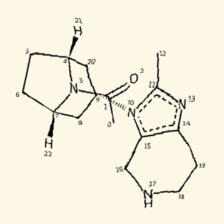 CC(=O)N1[C@@H]2CC[C@H]1C[C@@H](n1c(C)nc3c1CNCC3)C2